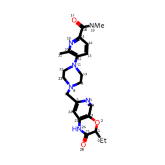 CCC1Oc2cnc(CN3CCN(c4ccc(C(=O)NC)nc4C)CC3)cc2NC1=O